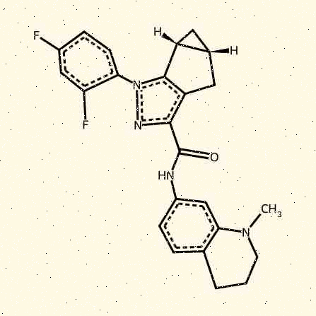 CN1CCCc2ccc(NC(=O)c3nn(-c4ccc(F)cc4F)c4c3C[C@H]3C[C@@H]43)cc21